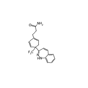 NC(=O)CCC1=CCC(C2=NNc3ccccc3C=C2)(C(F)(F)F)C=C1